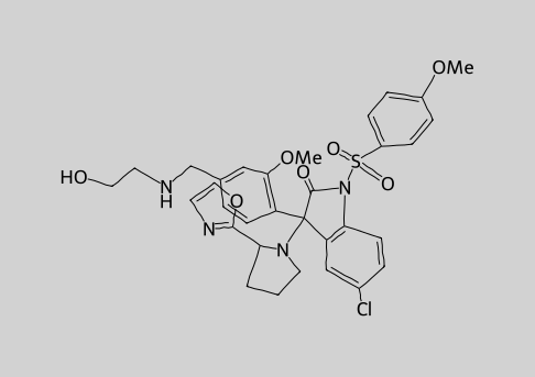 COc1ccc(S(=O)(=O)N2C(=O)C(c3ccc(CNCCO)cc3OC)(N3CCCC3c3ncco3)c3cc(Cl)ccc32)cc1